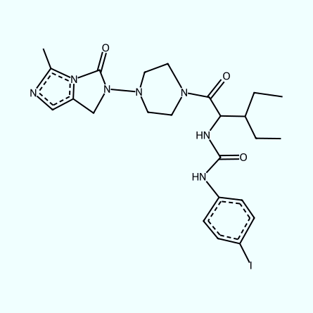 CCC(CC)C(NC(=O)Nc1ccc(I)cc1)C(=O)N1CCN(N2Cc3cnc(C)n3C2=O)CC1